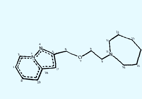 c1ccn2nc(COCCN3CCCCCC3)cc2c1